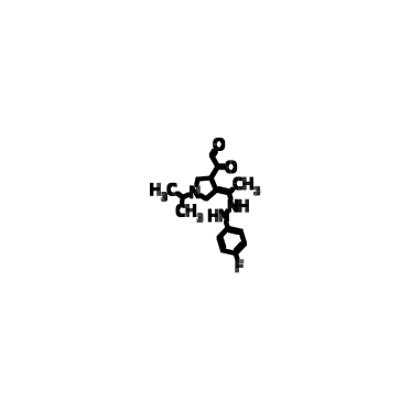 CC(NNc1ccc(F)cc1)=C1CN(C(C)C)CC1C(=O)C=O